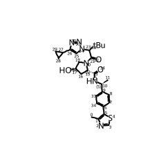 Cc1ncsc1-c1ccc([C@H](C)NC(=O)[C@@H]2C[C@@H](O)CN2C(=O)C(n2cc(C3CC3)nn2)C(C)(C)C)cc1